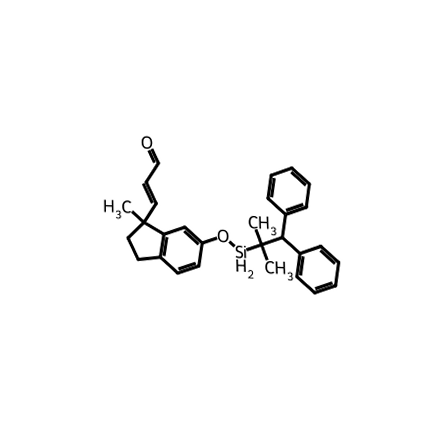 CC1(/C=C/C=O)CCc2ccc(O[SiH2]C(C)(C)C(c3ccccc3)c3ccccc3)cc21